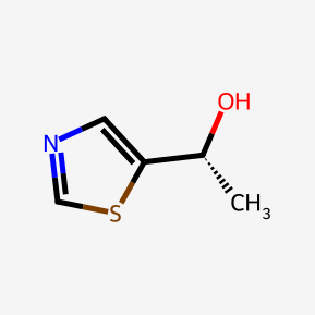 C[C@@H](O)c1cncs1